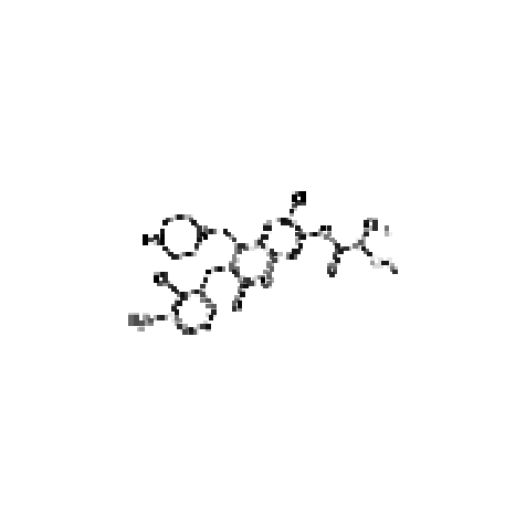 CN(C)C(=O)Oc1cc2oc(=O)c(Cc3cccc(N)c3Cl)c(CN3CCNCC3)c2cc1Cl